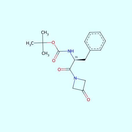 CC(C)(C)OC(=O)N[C@@H](Cc1ccccc1)C(=O)N1CC(=O)C1